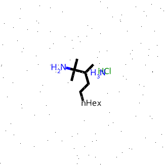 CCCCCCCCC(C)C(C)(C)N.Cl.N